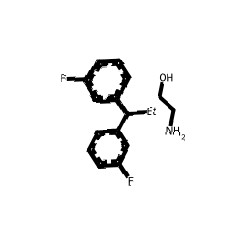 CCC(c1cccc(F)c1)c1cccc(F)c1.NCCO